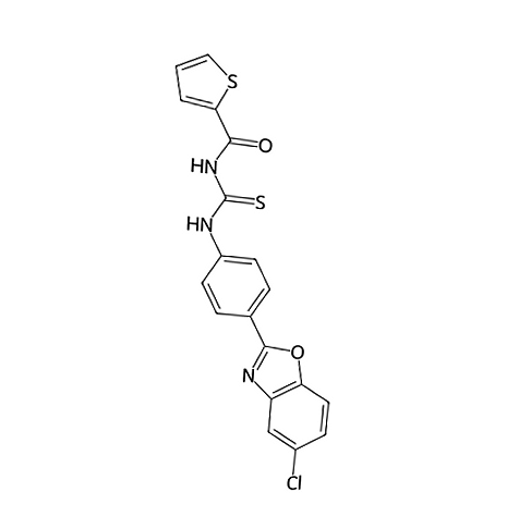 O=C(NC(=S)Nc1ccc(-c2nc3cc(Cl)ccc3o2)cc1)c1cccs1